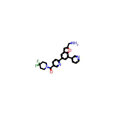 NCc1cc2cc(-c3ccc(C(=O)N4CCC(F)(F)CC4)cn3)cc(-c3cccnc3)c2o1